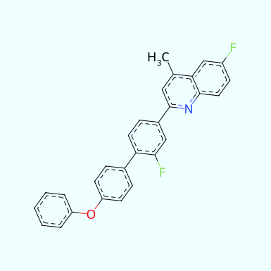 Cc1cc(-c2ccc(-c3ccc(Oc4ccccc4)cc3)c(F)c2)nc2ccc(F)cc12